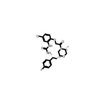 C[C@@H]1CO[C@H](CCc2ccc(F)cc2)CN1C(=O)COc1ccc(Cl)cc1NC(N)=O